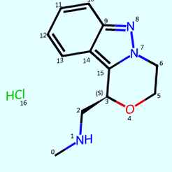 CNC[C@@H]1OCCn2nc3ccccc3c21.Cl